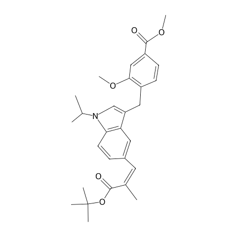 COC(=O)c1ccc(Cc2cn(C(C)C)c3ccc(C=C(C)C(=O)OC(C)(C)C)cc23)c(OC)c1